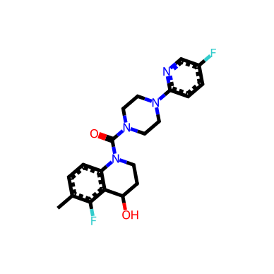 Cc1ccc2c(c1F)C(O)CCN2C(=O)N1CCN(c2ccc(F)cn2)CC1